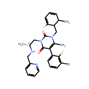 CCc1cccc(-c2c(C)n(CC3C(F)=CC=CC3C)c(=O)n(C[C@@H](C)NCc3ccccn3)c2=O)c1F